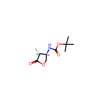 C[C@H]1C(=O)OC[C@@H]1NC(=O)OC(C)(C)C